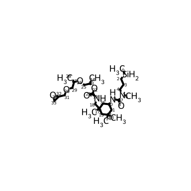 C[SiH2]CCCN(C)C(=O)NC1CC(C)(C)CC(C)(CNC(=O)OC(C)COC(C)COCC2CO2)C1